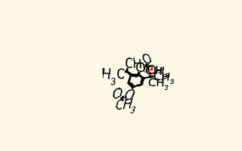 CC(=O)Oc1cc(C(C)C)c(OC(C)=O)c(C(C)(C)C)c1